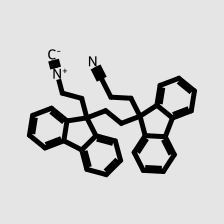 [C-]#[N+]CCC1(CCC2(CCC#N)c3ccccc3-c3ccccc32)c2ccccc2-c2ccccc21